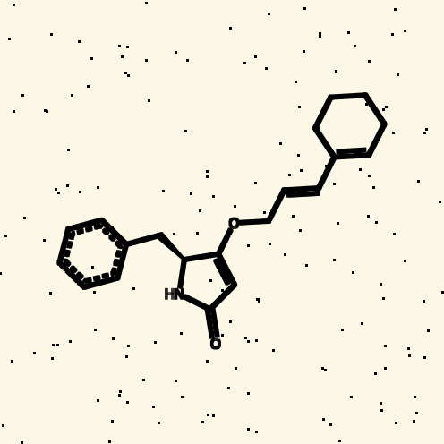 O=C1C=C(OC/C=C/C2=CCCCC2)[C@H](Cc2ccccc2)N1